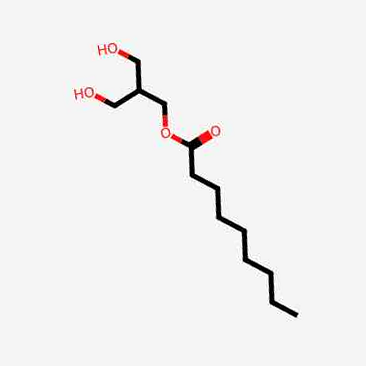 CCCCCCCCC(=O)OCC(CO)CO